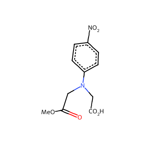 COC(=O)CN(CC(=O)O)c1ccc([N+](=O)[O-])cc1